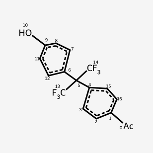 CC(=O)c1ccc(C(c2ccc(O)cc2)(C(F)(F)F)C(F)(F)F)cc1